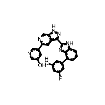 Oc1cncc(-c2cc3c(-c4nc5c(-c6cc(O)cc(F)c6)cccc5[nH]4)n[nH]c3cn2)c1